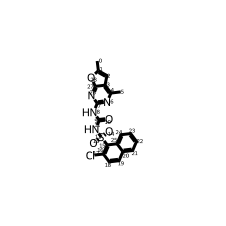 Cc1cc2c(C)nc(NC(=O)NS(=O)(=O)c3c(Cl)ccc4ccccc34)nc2o1